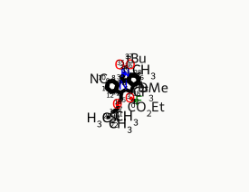 CCOC(=O)C(F)OC(C1=Nc2cc(C#N)ccc2C1COCC[Si](C)(C)C)(c1c(OC)cc(C)c2c1ccn2C(=O)OC(C)(C)C)C(F)(F)F